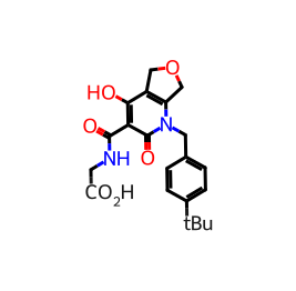 CC(C)(C)c1ccc(Cn2c3c(c(O)c(C(=O)NCC(=O)O)c2=O)COC3)cc1